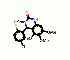 CCCN1C(=O)Nc2cc(OC)c(OC)c(OC)c2C1c1cc(Cl)ccc1F